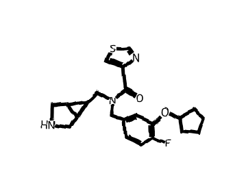 O=C(c1cscn1)N(Cc1ccc(F)c(OC2CCCC2)c1)CC1C2CNCC21